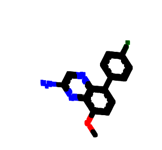 COc1ccc(-c2ccc(F)cc2)c2ncc(N)nc12